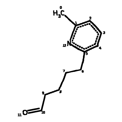 Cc1cccc(CCCCC=O)n1